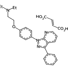 CCN(CC)CCOc1ccc(-n2nc(-c3ccccc3)c3cccnc32)cc1.O=C(O)C=CC(=O)O